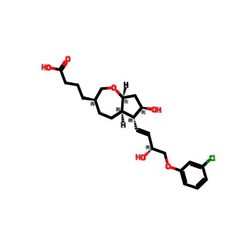 O=C(O)CCC[C@@H]1CC[C@@H]2[C@@H](C=C[C@@H](O)COc3cccc(Cl)c3)[C@H](O)C[C@@H]2OC1